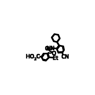 CCc1ccc(C(=O)O)cc1S(=O)(=O)Nc1cc(C#N)ccc1C1CCCCC1